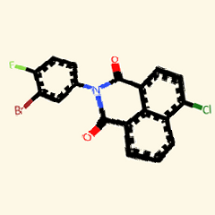 O=C1c2cccc3c(Cl)ccc(c23)C(=O)N1c1ccc(F)c(Br)c1